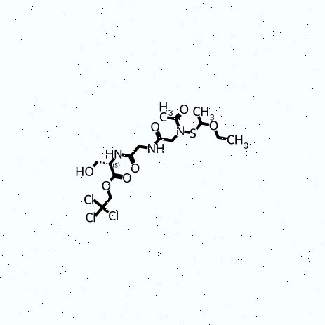 CCOC(C)SN(CC(=O)NCC(=O)N[C@@H](CO)C(=O)OCC(Cl)(Cl)Cl)C(C)=O